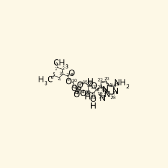 CCCC(CCC)C(=O)OCO[P@@]1(=O)OC[C@H]2O[C@@](C#N)(c3ccc4c(N)ncnn34)[C@H](O)[C@@H]2O1